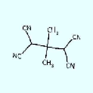 CC(C)(C(C#N)C#N)C(C#N)C#N